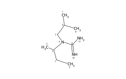 CCC(C)N(CC(C)C)C(=N)N